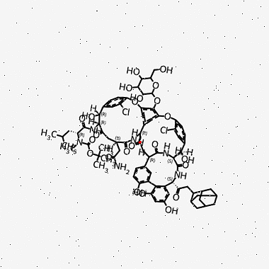 CC(C)C[C@H](C(=O)N[C@H]1C(=O)C[C@@H](CC(N)=O)C(=O)N[C@H]2C(=O)C[C@H]3C(=O)N[C@H](C(=O)N[C@H](C(=O)CC4C5CC6CC(C5)CC4C6)c4cc(O)cc(O)c4-c4cc3ccc4O)[C@H](O)c3ccc(c(Cl)c3)Oc3cc2cc(c3OC2OC(CO)C(O)C(O)C2O)Oc2ccc(cc2Cl)[C@H]1O)N(C)C(=O)OC(C)(C)C